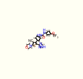 N#Cc1c(N2CCOCC2)sc(-c2nc[nH]n2)c1-c1ccc(NC(=O)Nc2ccc(OC(F)(F)F)cc2)cc1